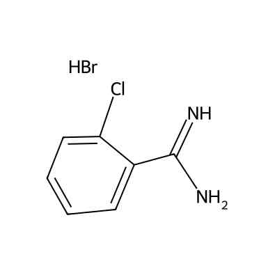 Br.N=C(N)c1ccccc1Cl